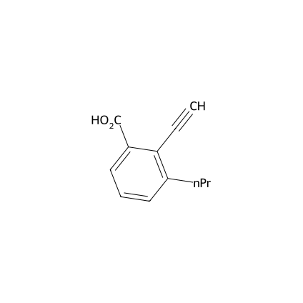 C#Cc1c(CCC)cccc1C(=O)O